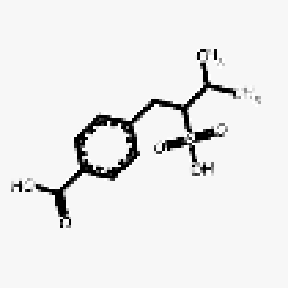 CC(C)C(Cc1ccc(C(=O)O)cc1)S(=O)(=O)O